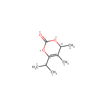 CC1=C(C(C)C)OC(=O)OC1C